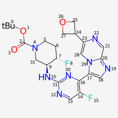 CC(C)(C)OC(=O)N1CC[C@H](F)[C@@H](Nc2ncc(F)c(-c3cnc4cnc(C5COC5)cn34)n2)C1